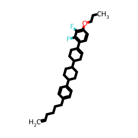 C=CCCCCc1ccc(C2CCC(C3CC=C(c4ccc(OCCC)c(F)c4F)CC3)CC2)cc1